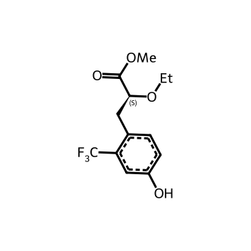 CCO[C@@H](Cc1ccc(O)cc1C(F)(F)F)C(=O)OC